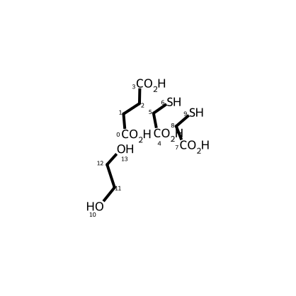 O=C(O)CCC(=O)O.O=C(O)CS.O=C(O)CS.OCCO